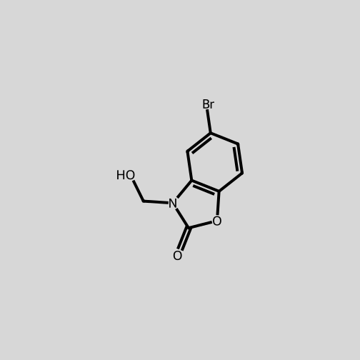 O=c1oc2ccc(Br)cc2n1CO